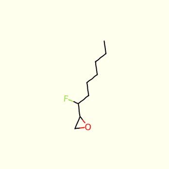 CCCCCCC(F)C1CO1